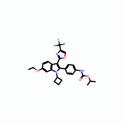 CCOc1ccc2c(-c3nc(C(F)(F)F)co3)c(-c3ccc(NC(=O)OC(C)C)cc3)n(C3CCC3)c2c1